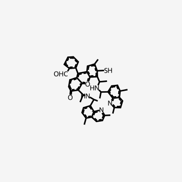 Cc1ccc2c(C)ccc(C(C)NC(C)c3c4oc5c(C(C)NC(C)c6ccc(C)c7ccc(C)nc67)c(S)c(C)cc5c(-c5ccccc5C=O)c-4ccc3=O)c2n1